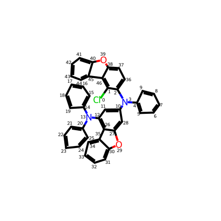 Clc1c(N(c2ccccc2)c2cc(N(c3ccccc3)c3ccccc3)c3c(c2)oc2ccccc23)ccc2oc3ccccc3c12